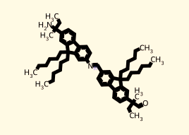 CCCCCCC1(CCCCCC)c2cc(/N=C/c3ccc4c(c3)C(CCCCCC)(CCCCCC)c3cc(C(C)(C=O)CC)ccc3-4)ccc2-c2ccc(C(C)(N)CC)cc21